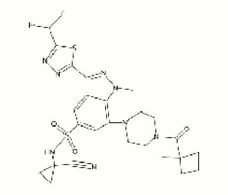 Cn1nc(-c2nnc(C(F)F)s2)c2cc(S(=O)(=O)NC3(C#N)CC3)cc(N3CCN(C(=O)C4(C)CCC4)CC3)c21